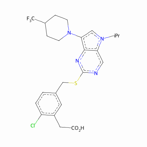 CC(C)n1cc(N2CCC(C(F)(F)F)CC2)c2nc(SCc3ccc(Cl)c(CC(=O)O)c3)ncc21